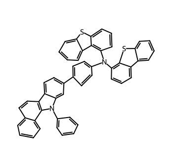 c1ccc(-n2c3cc(-c4ccc(N(c5cccc6c5sc5ccccc56)c5cccc6sc7ccccc7c56)cc4)ccc3c3ccc4ccccc4c32)cc1